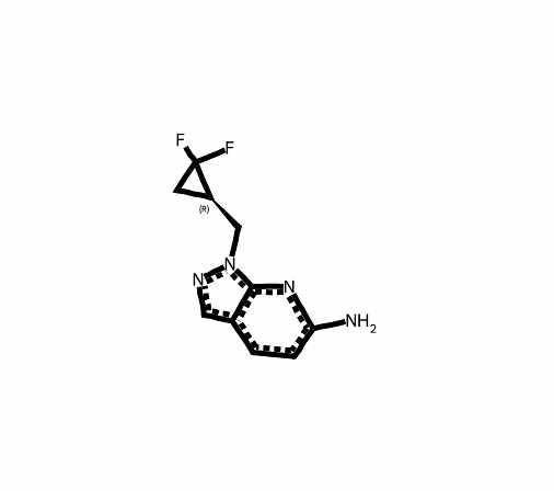 Nc1ccc2cnn(C[C@H]3CC3(F)F)c2n1